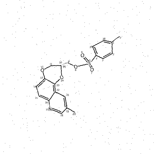 Cc1ccc(S(=O)(=O)OC[C@H]2COc3ccc4ncc(C)cc4c3O2)cc1